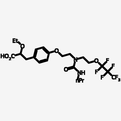 CCCNC(=O)N(CCOc1ccc(CC(OCC)C(=O)O)cc1)CCOC(F)(F)C(F)(F)C(F)(F)F